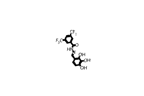 O=C(NN=Cc1ccc(O)c(O)c1O)c1cc(C(F)(F)F)cc(C(F)(F)F)c1